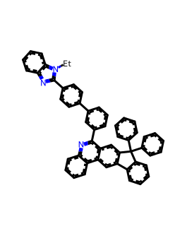 CCn1c(-c2ccc(-c3cccc(-c4nc5ccccc5c5cc6c(cc45)C(c4ccccc4)(c4ccccc4)c4ccccc4-6)c3)cc2)nc2ccccc21